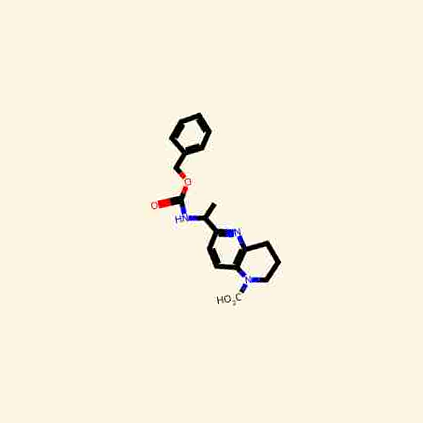 CC(NC(=O)OCc1ccccc1)c1ccc2c(n1)CCCN2C(=O)O